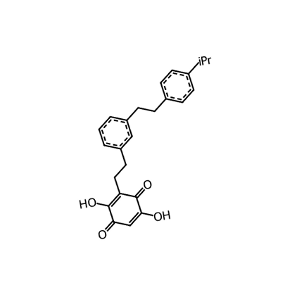 CC(C)c1ccc(CCc2cccc(CCC3=C(O)C(=O)C=C(O)C3=O)c2)cc1